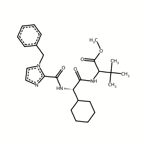 COC(=O)C(NC(=O)[C@@H](NC(=O)c1nccn1Cc1ccccc1)C1CCCCC1)C(C)(C)C